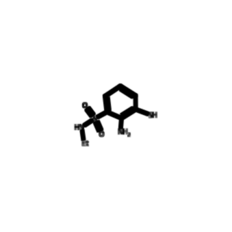 CCNS(=O)(=O)c1cccc(S)c1N